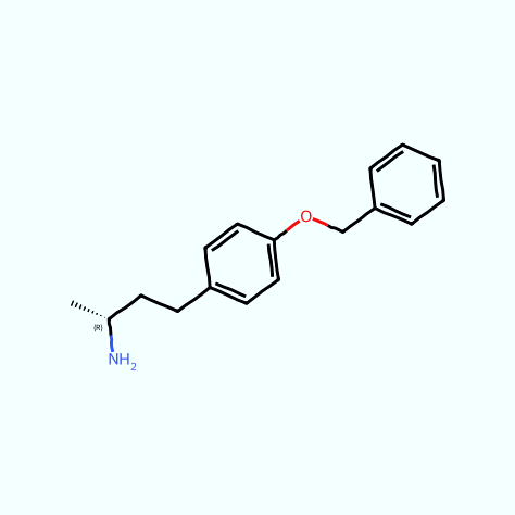 C[C@@H](N)CCc1ccc(OCc2ccccc2)cc1